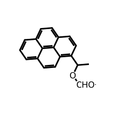 CC(O[C]=O)c1ccc2ccc3cccc4ccc1c2c34